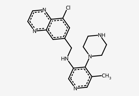 Cc1cncc(NCc2cc(Cl)c3nccnc3c2)c1N1CCNCC1